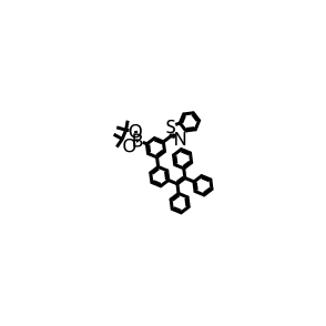 CC1(C)OB(c2cc(-c3cccc(C(=C(c4ccccc4)c4ccccc4)c4ccccc4)c3)cc(-c3nc4ccccc4s3)c2)OC1(C)C